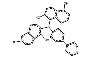 Oc1ccc2c(O)c(C(c3ccc(-c4ccccc4)cc3)c3c(O)ccc4c(O)cccc34)ccc2c1